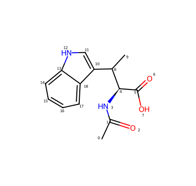 CC(=O)N[C@H](C(=O)O)C(C)c1c[nH]c2ccccc12